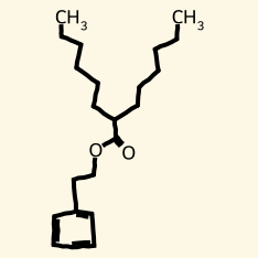 CCCCCCC(CCCCCC)C(=O)OCCc1ccccc1